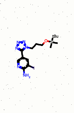 CC(C)(C)[Si](C)(C)OCCCn1nnnc1-c1cnc(N)c(I)c1